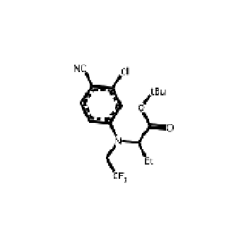 CCC(C(=O)OC(C)(C)C)N(CC(F)(F)F)c1ccc(C#N)c(Cl)c1